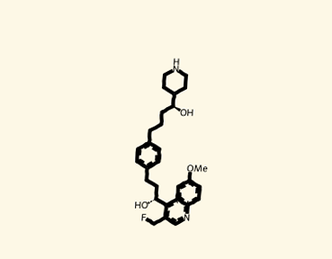 COc1ccc2ncc(CF)c([C@H](O)CCc3ccc(CCC[C@H](O)C4CCNCC4)cc3)c2c1